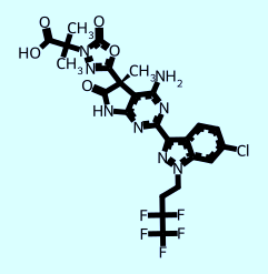 CC(C)(C(=O)O)n1nc([C@@]2(C)C(=O)Nc3nc(-c4nn(CCC(F)(F)C(F)(F)F)c5cc(Cl)ccc45)nc(N)c32)oc1=O